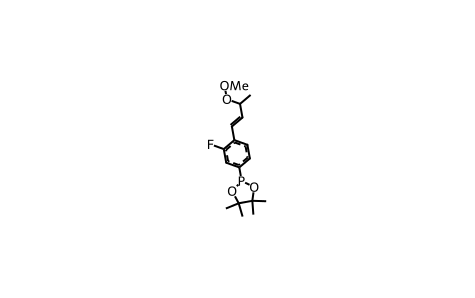 COOC(C)/C=C/c1ccc(P2OC(C)(C)C(C)(C)O2)cc1F